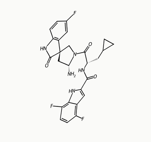 N[C@@H]1C[C@@]2(CN1C(=O)[C@H](CC1CC1)NC(=O)c1cc3c(F)ccc(F)c3[nH]1)C(=O)Nc1ccc(F)cc12